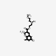 CC(=O)N(CCOC(=O)C1=Cc2cc(Cl)cc(C)c2O[C@@H]1C(F)(F)F)CCO[N+](=O)[O-]